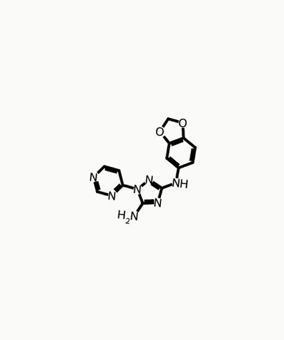 Nc1nc(Nc2ccc3c(c2)OCO3)nn1-c1ccncn1